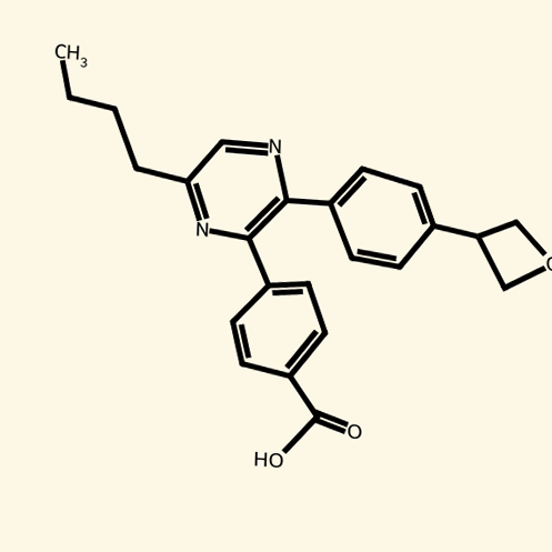 CCCCc1cnc(-c2ccc(C3COC3)cc2)c(-c2ccc(C(=O)O)cc2)n1